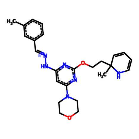 Cc1cccc(/C=N/Nc2cc(N3CCOCC3)nc(OCCC3(C)C=CC=CN3)n2)c1